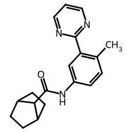 Cc1ccc(NC(=O)C2C3CCC2CC3)cc1-c1ncccn1